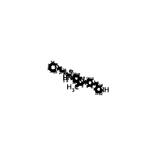 Cc1cc(N2CCN(CC3CCCNC3)CC2)nc2ccc(NC(=S)NCCCN3CCCCCC3)cc12